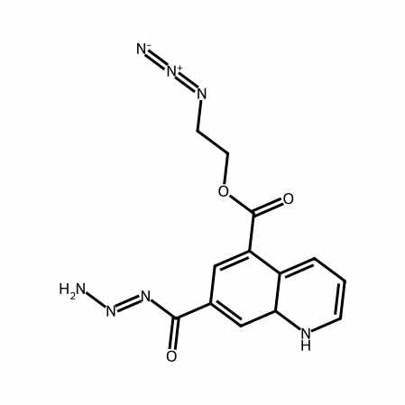 [N-]=[N+]=NCCOC(=O)C1=CC(C(=O)N=NN)=CC2NC=CC=C12